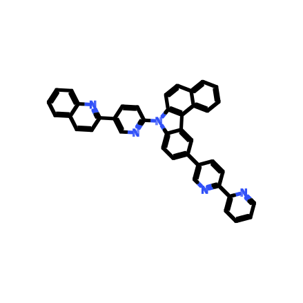 c1ccc(-c2ccc(-c3ccc4c(c3)c3c5ccccc5ccc3n4-c3ccc(-c4ccc5ccccc5n4)cn3)cn2)nc1